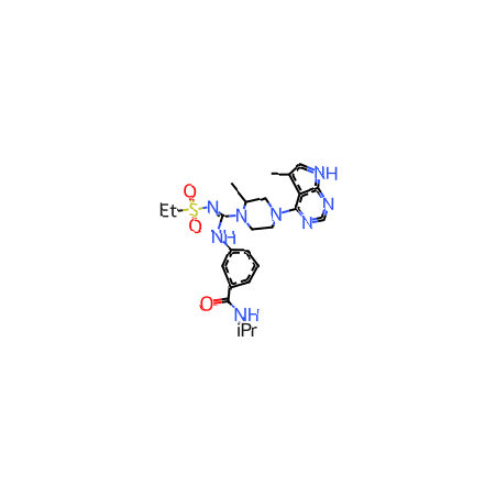 CCS(=O)(=O)N=C(Nc1cccc(C(=O)NC(C)C)c1)N1CCN(c2ncnc3[nH]cc(C)c23)CC1C